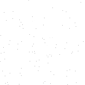 C=CCNC(=O)COc1ccccc1C=O